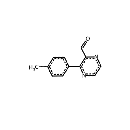 Cc1ccc(-c2nccnc2C=O)cc1